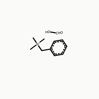 C[N+](C)(C)Cc1ccccc1.O=[C-]O